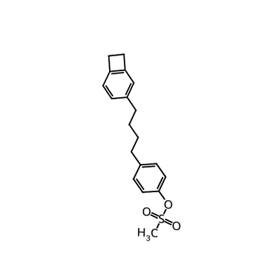 CS(=O)(=O)Oc1ccc(CCCCc2ccc3c(c2)CC3)cc1